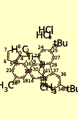 Cl.Cl.[CH2]=[Ti]([C]1=CC=CC1)([c]1ccc(C)cc1)([c]1ccc(C)cc1)[c]1cc(C(C)(C)C)cc2c1Cc1ccc(C(C)(C)C)cc1-2